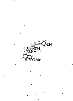 COc1cc(C(=O)Nc2c(C)nn(CCOc3ccc(C#N)cc3)c2C)c2ccccc2n1